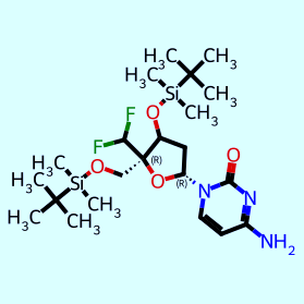 CC(C)(C)[Si](C)(C)OC[C@@]1(C(F)F)O[C@@H](n2ccc(N)nc2=O)CC1O[Si](C)(C)C(C)(C)C